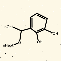 CCCCCCCCC(OCCCCCCC)c1cccc(O)c1O